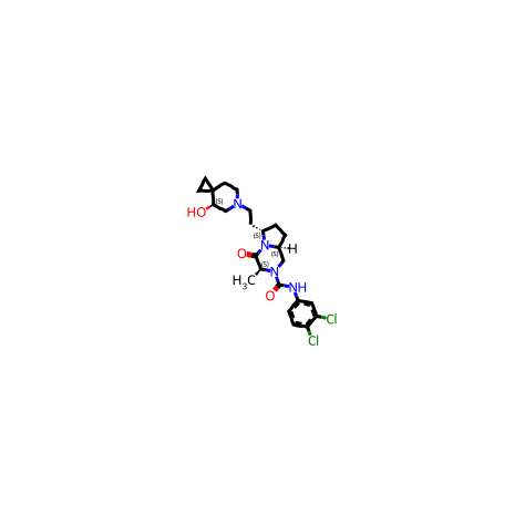 C[C@H]1C(=O)N2[C@H](CCN3CCC4(CC4)[C@H](O)C3)CC[C@H]2CN1C(=O)Nc1ccc(Cl)c(Cl)c1